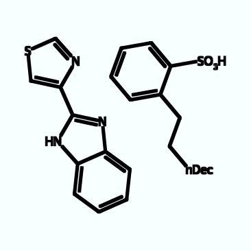 CCCCCCCCCCCCc1ccccc1S(=O)(=O)O.c1ccc2[nH]c(-c3cscn3)nc2c1